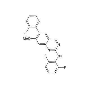 COc1cc2nc(Nc3c(F)cccc3F)ncc2cc1-c1ccccc1Cl